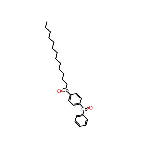 CCCCCCCCCCCC[CH2][Co](=[O])[c]1cc[c]([Co](=[O])[c]2ccccc2)cc1